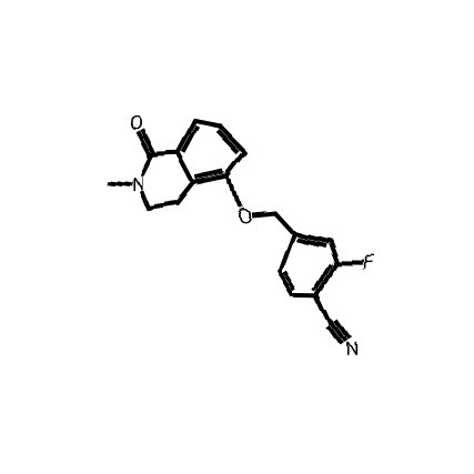 CN1CCc2c(OCc3ccc(C#N)c(F)c3)cccc2C1=O